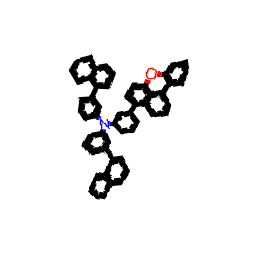 c1cc(-c2cccc3ccccc23)cc(N(c2cccc(-c3cccc4ccccc34)c2)c2cccc(-c3ccc4c5c(cccc35)-c3ccccc3O4)c2)c1